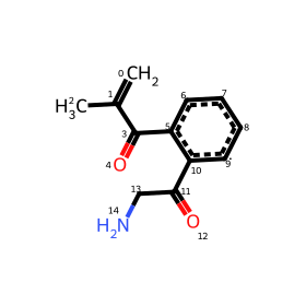 C=C(C)C(=O)c1ccc[c]c1C(=O)CN